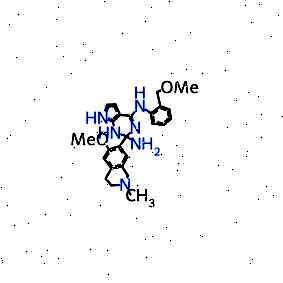 COCc1ccccc1NC1=NC(N)(c2cc3c(cc2OC)CCN(C)C3)Nc2[nH]ccc21